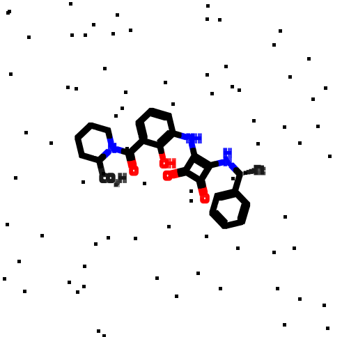 CC[C@@H](Nc1c(Nc2cccc(C(=O)N3CCCCC3C(=O)O)c2O)c(=O)c1=O)c1ccccc1